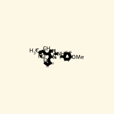 COc1ccc(CNc2ncc(-c3onc(C)c3C)c(-c3ccco3)n2)cc1